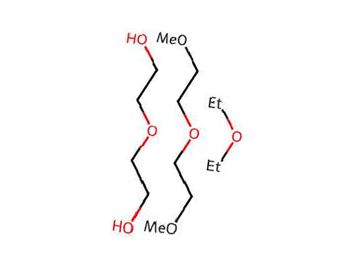 CCOCC.COCCOCCOC.OCCOCCO